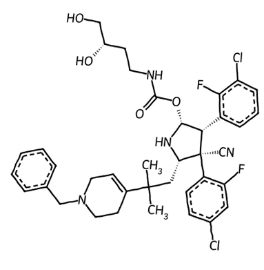 CC(C)(C[C@@H]1N[C@H](OC(=O)NCC[C@H](O)CO)[C@H](c2cccc(Cl)c2F)[C@@]1(C#N)c1ccc(Cl)cc1F)C1=CCN(Cc2ccccc2)CC1